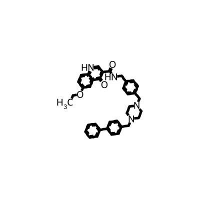 CCOc1ccc2[nH]cc(C(=O)NCc3ccc(CN4CCN(Cc5ccc(-c6ccccc6)cc5)CC4)cc3)c(=O)c2c1